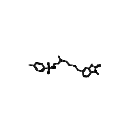 Cc1ccc(S(=O)(=O)NCCN(C)CCCCc2ccc3c(c2)sc(=O)n3C)cc1